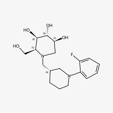 OC[C@H]1[C@@H](O)[C@H](O)[C@@H](O)CN1C[C@H]1CCCN(c2ccccc2F)C1